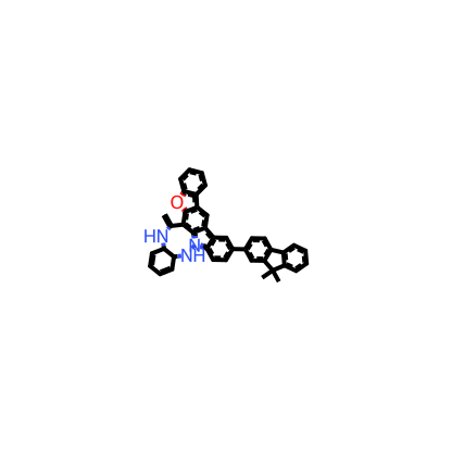 C=C1NC2C=CC=CC2Nn2c3ccc(-c4ccc5c(c4)C(C)(C)c4ccccc4-5)cc3c3cc4c(oc5ccccc54)c1c32